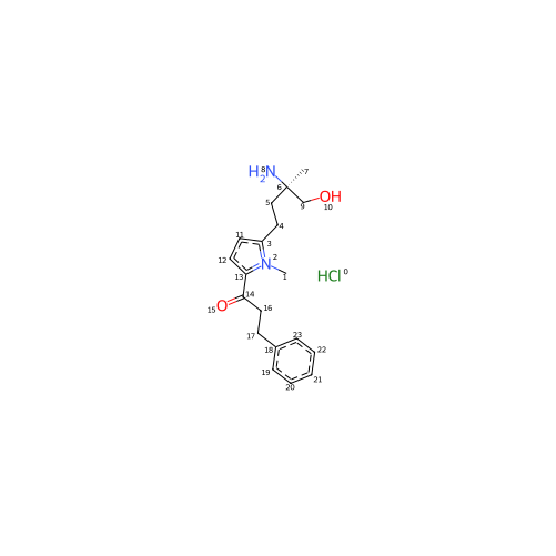 Cl.Cn1c(CC[C@@](C)(N)CO)ccc1C(=O)CCc1ccccc1